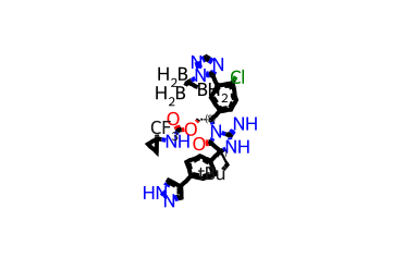 BC(B)(B)n1ncnc1-c1cc([C@@H](COC(=O)NC2(C(F)(F)F)CC2)N2C(=N)N[C@](CC(C)(C)C)(c3ccc(-c4cn[nH]c4)cc3)C2=O)ccc1Cl